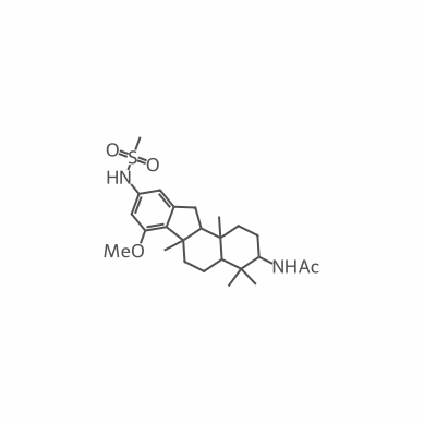 COc1cc(NS(C)(=O)=O)cc2c1C1(C)CCC3C(C)(C)C(NC(C)=O)CCC3(C)C1C2